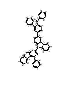 c1ccc(-c2nc(-n3c4ccccc4c4cc(-c5ccc6c(c5)c5ccccc5n6-c5ccccc5)ccc43)nc3sc4ccccc4c23)cc1